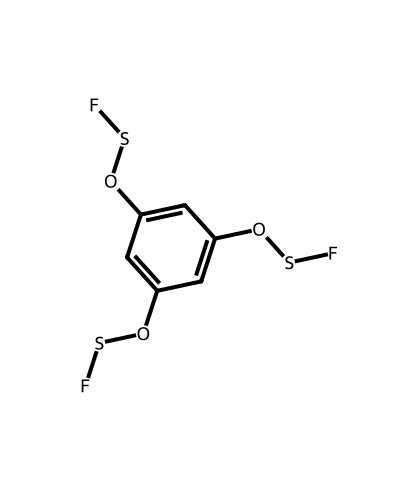 FSOc1cc(OSF)cc(OSF)c1